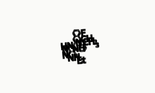 C=C1c2c(F)cccc2C=C(CNc2ncnc(N)c2C(=N)C#CCC)N1c1ccccc1C